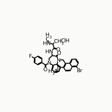 CNC(C)C(=O)NC1CN(C(=O)c2ccc(F)cc2)c2ccccc2N(Cc2c(OC)ccc3c(Br)cccc23)C1=O.Cl